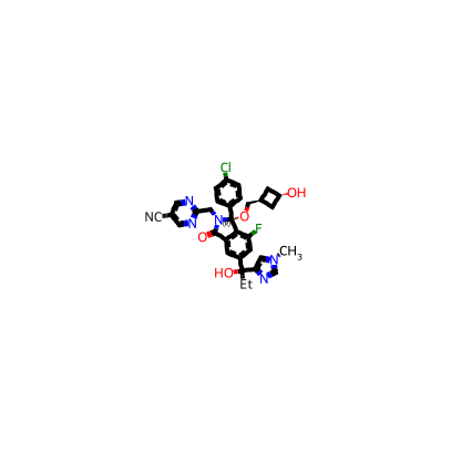 CCC(O)(c1cc(F)c2c(c1)C(=O)N(Cc1ncc(C#N)cn1)[C@@]2(OC[C@H]1C[C@H](O)C1)c1ccc(Cl)cc1)c1cn(C)cn1